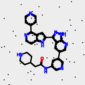 O=C(CC1CCNCC1)Nc1cncc(-c2cnc3[nH]nc(-c4cc5c(-c6ccncc6)nccc5[nH]4)c3c2)c1